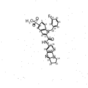 CS(=O)(=O)c1ccc2c(c1)cc(C(=O)Nc1cnc3c(c1)nc1n3CCC1)n2Cc1cccc(F)c1